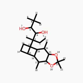 CCC(C)(C(O)C(O)C(C)(C)C)C12CCC1C1C(C)C3OC(C)(C)OC3C(C)C12